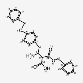 NC(Cc1ccc(OCc2ccccc2)nc1)C(C(=O)O)C(=O)OCc1ccccc1